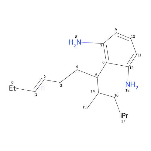 CC/C=C/CCC(c1c(N)cccc1N)C(C)CC(C)C